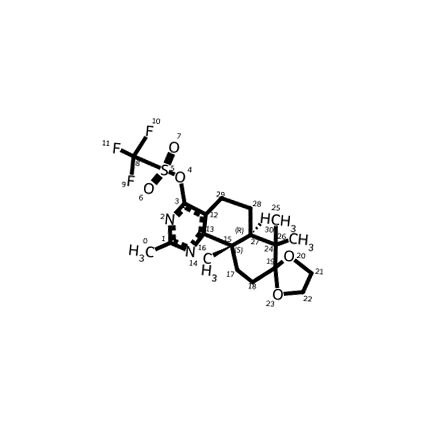 Cc1nc(OS(=O)(=O)C(F)(F)F)c2c(n1)[C@@]1(C)CCC3(OCCO3)C(C)(C)[C@@H]1CC2